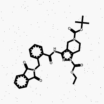 CCOC(=O)n1nc(NC(=O)c2ccccc2CN2C(=O)c3ccccc3C2=O)c2c1CCN(C(=O)OC(C)(C)C)C2